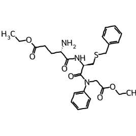 CCOC(=O)CC[C@H](N)C(=O)N[C@@H](CSCc1ccccc1)C(=O)N(CC(=O)OCC)c1ccccc1